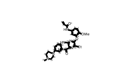 C=CC(=O)Nc1ccc(OC)c(Oc2nc(Nc3ccc(N4CCN(C)CC4)cc3)c(C(N)=O)nc2CC)c1